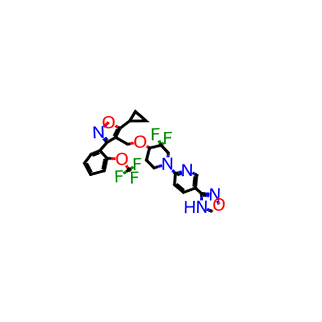 FC(F)(F)Oc1ccccc1-c1noc(C2CC2)c1COC1CCN(c2ccc(C3=NOCN3)cn2)CC1(F)F